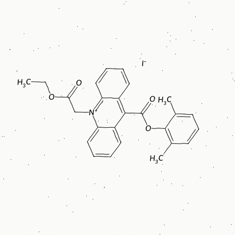 CCOC(=O)C[n+]1c2ccccc2c(C(=O)Oc2c(C)cccc2C)c2ccccc21.[I-]